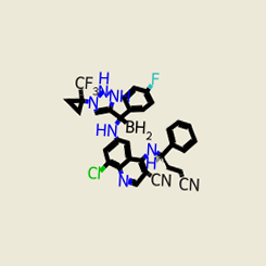 BC(Nc1cc(Cl)c2ncc(C#N)c(N[C@H](CCC#N)c3ccccc3)c2c1)(C1=CN(C2(C(F)(F)F)CC2)NN1)c1ccc(F)cc1